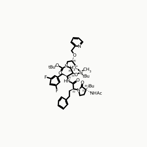 CC[C@@H](C)[C@@]1(NC(C)=O)CCN([C@@H](CCc2ccccc2)C(=O)N[C@@H](Cc2cc(F)cc(F)c2)[C@H](O[Si](C)(C)C(C)(C)C)[C@H]2C[C@@H](OCc3ccccn3)CN2C(=O)OC(C)(C)C)C1=O